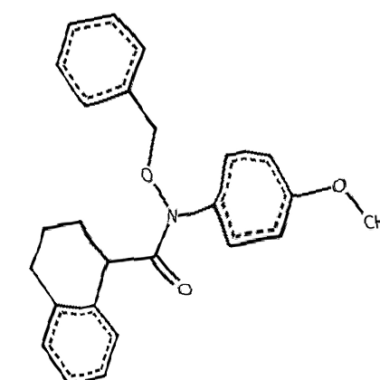 COc1ccc(N(OCc2ccccc2)C(=O)C2CCCc3ccccc32)cc1